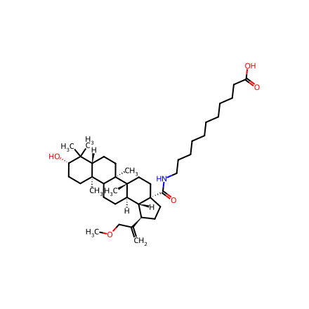 C=C(COC)[C@@H]1CC[C@]2(C(=O)NCCCCCCCCCCC(=O)O)CC[C@]3(C)[C@H](CCC4[C@@]5(C)CC[C@H](O)C(C)(C)[C@@H]5CC[C@]43C)[C@@H]12